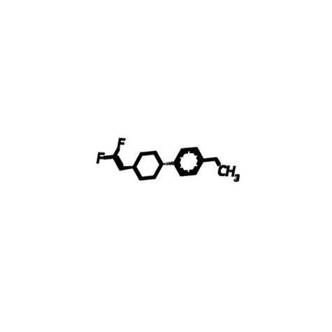 CCc1ccc([C@H]2CC[C@H](C=C(F)F)CC2)cc1